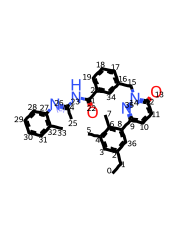 CCc1cc(C)c(C)c(-c2ccc(=O)n(Cc3cccc(C(=O)N/C(C)=N/c4ccccc4C)c3)n2)c1